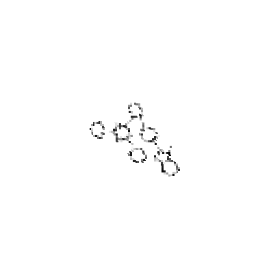 Cn1c(-c2ccc(-c3ccccc3-c3nc(-c4ccccc4)nc(-c4ccccc4)n3)cc2)nc2ccccc21